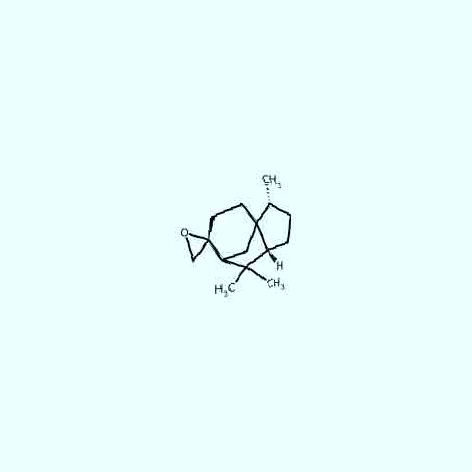 C[C@@H]1CC[C@@H]2C(C)(C)C3CC12CC[C@]31CO1